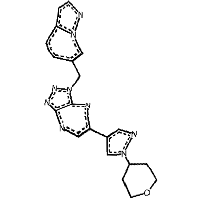 c1cc2ccc(Cn3nnc4ncc(-c5cnn(C6CCOCC6)c5)nc43)cn2n1